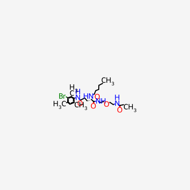 CCCCCC(=O)N[C@@H](CCC(=O)Nc1c(C)cc(C)c(Br)c1C)C(=O)NCCOCCNC(=O)CC